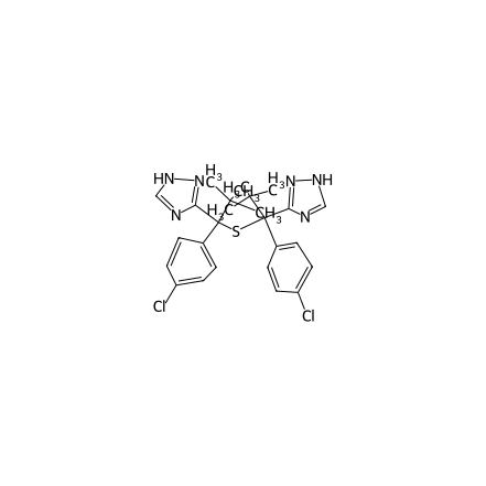 CC(C)(C)C(SC(c1ccc(Cl)cc1)(c1nc[nH]n1)C(C)(C)C)(c1ccc(Cl)cc1)c1nc[nH]n1